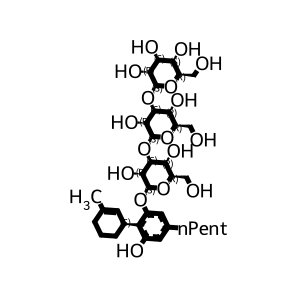 CCCCCc1cc(O)c([C@@H]2C=C(C)CCC2)c(O[C@@H]2O[C@H](CO)[C@@H](O)[C@H](O[C@@H]3O[C@H](CO)[C@@H](O)[C@H](O[C@@H]4O[C@H](CO)[C@@H](O)[C@H](O)[C@H]4O)[C@H]3O)[C@H]2O)c1